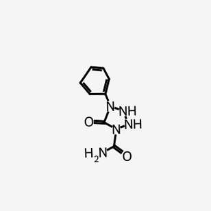 NC(=O)N1NNN(c2ccccc2)C1=O